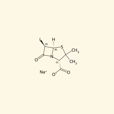 CC1(C)S[C@@H]2[C@H](I)C(=O)N2[C@H]1C(=O)[O-].[Na+]